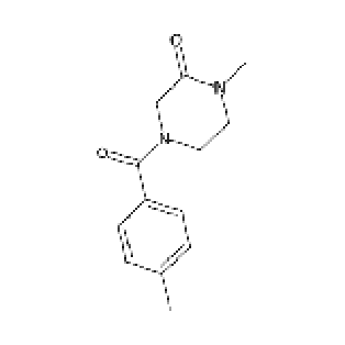 Cc1ccc(C(=O)N2CCN(C)C(=O)C2)cc1